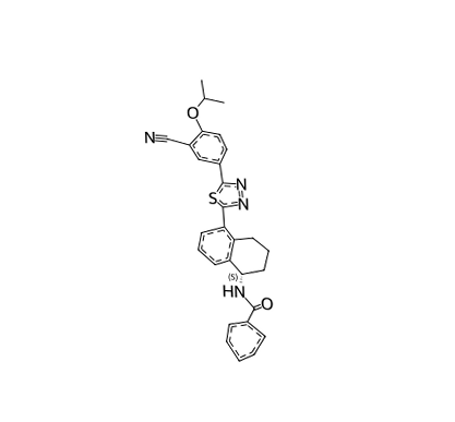 CC(C)Oc1ccc(-c2nnc(-c3cccc4c3CCC[C@@H]4NC(=O)c3ccccc3)s2)cc1C#N